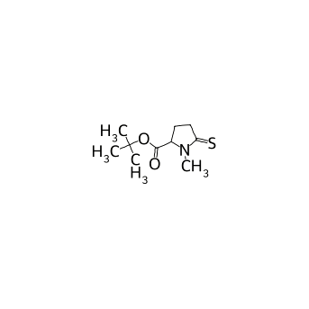 CN1C(=S)CCC1C(=O)OC(C)(C)C